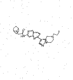 O=C(CN1C2CCC1CC2)Nc1cc2nc(-c3cnn4c3CN(CCF)CC4)ccc2cn1